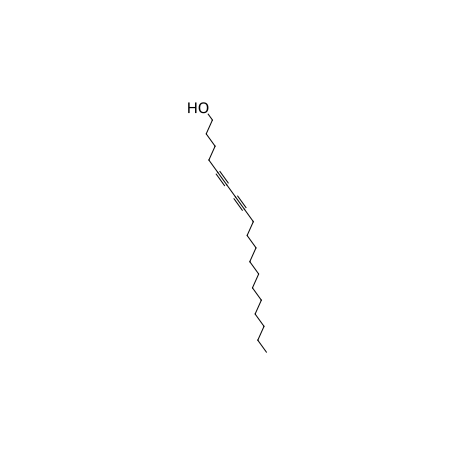 CCCCCCCCCCCC#CC#CCCCCO